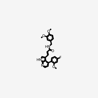 COc1ccc(CNC(=O)/C=C/c2c[nH]c3nccc(-c4ccc(F)cc4OC)c23)cc1OC